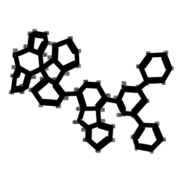 c1ccc(-c2cc(-c3ccccc3)nc(-c3ccc(-c4cccc5c4-c4ccccc4C54c5ccccc5Oc5ccccc54)c4sc5ccccc5c34)n2)cc1